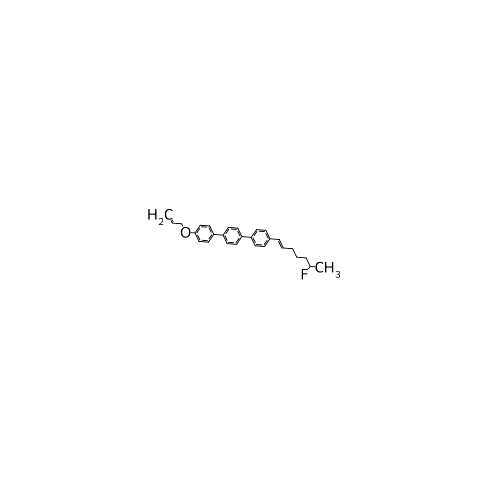 C=CCOc1ccc(-c2ccc(-c3ccc(/C=C/CCCC(C)F)cc3)cc2)cc1